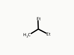 [CH2]CC(C)CC